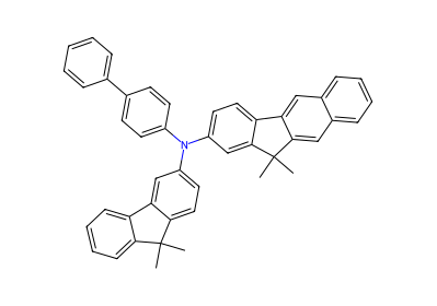 CC1(C)c2ccccc2-c2cc(N(c3ccc(-c4ccccc4)cc3)c3ccc4c(c3)C(C)(C)c3cc5ccccc5cc3-4)ccc21